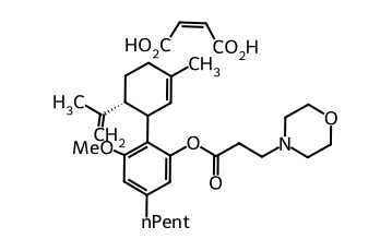 C=C(C)[C@@H]1CCC(C)=CC1c1c(OC)cc(CCCCC)cc1OC(=O)CCN1CCOCC1.O=C(O)/C=C\C(=O)O